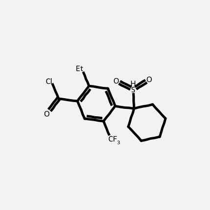 CCc1cc(C2([SH](=O)=O)CCCCC2)c(C(F)(F)F)cc1C(=O)Cl